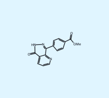 COC(=O)c1ccc(-c2n[nH]c(=O)c3cccnc23)cc1